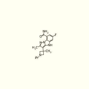 Cc1nn2c([nH]c3cc(F)cc(C(N)=O)c32)c1C1(C)CN(C(C)C)C1